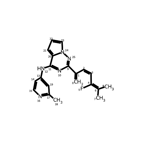 C=C(/C=C\C(F)=C(C)C)c1nc(Nc2ccnc(C)c2)c2cccn2n1